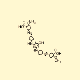 COc1ccc(/N=N/c2ccc(Nc3nc(O)nc(Nc4ccc(/N=N/c5ccc(OC)c(C(=O)O)c5)cc4)n3)cc2)cc1C(=O)O